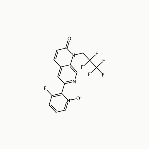 O=c1ccc2cc(-c3c(F)ccc[n+]3[O-])ncc2n1CC(F)(F)C(F)(F)F